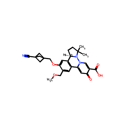 COCc1cc2c(cc1OCC13CC(C#N)(C1)C3)[C@H]1CCC(C)(C)N1n1cc(C(=O)O)c(=O)cc1-2